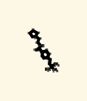 CC(C)(C)/C=C/c1ccc(C(=O)NCCN2CCCC2)cc1